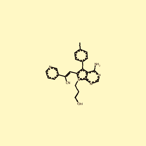 Cc1ccc(-c2c(C=C(C#N)c3cccnc3)n(CCCO)c3ncnc(N)c23)cc1